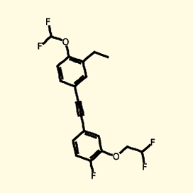 CCc1cc(C#Cc2ccc(F)c(OCC(F)F)c2)ccc1OC(F)F